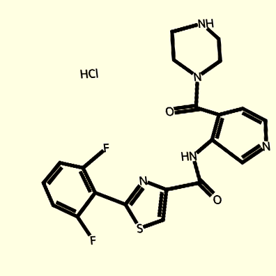 Cl.O=C(Nc1cnccc1C(=O)N1CCNCC1)c1csc(-c2c(F)cccc2F)n1